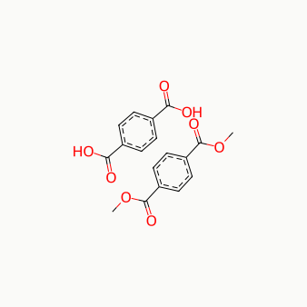 COC(=O)c1ccc(C(=O)OC)cc1.O=C(O)c1ccc(C(=O)O)cc1